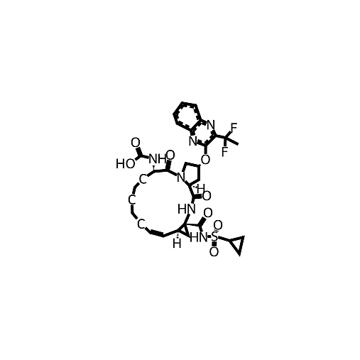 CC(F)(F)c1nc2ccccc2nc1O[C@@H]1C[C@H]2C(=O)N[C@]3(C(=O)NS(=O)(=O)C4CC4)C[C@H]3C=CCCCCC[C@H](NC(=O)O)C(=O)N2C1